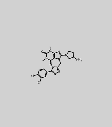 Cn1c(=O)c2c(nc(N3CCC(N)C3)n2Cc2nnc(-c3ccc(Cl)c(Cl)c3)o2)n(C)c1=O